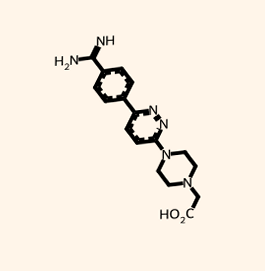 N=C(N)c1ccc(-c2ccc(N3CCN(CC(=O)O)CC3)nn2)cc1